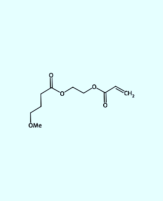 C=CC(=O)OCCOC(=O)CCCOC